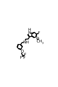 COc1cc2c(CCNCc3cccc(OCC(F)(F)F)c3)c[nH]c2cc1F